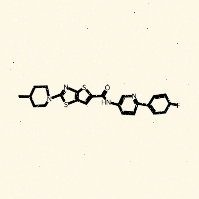 CC1CCN(c2nc3sc(C(=O)Nc4ccc(C5=CCC(F)C=C5)nc4)cc3s2)CC1